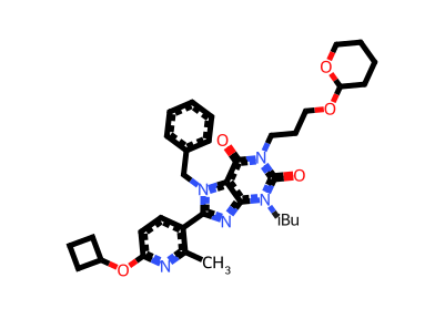 CCC(C)n1c(=O)n(CCCOC2CCCCO2)c(=O)c2c1nc(-c1ccc(OC3CCC3)nc1C)n2Cc1ccccc1